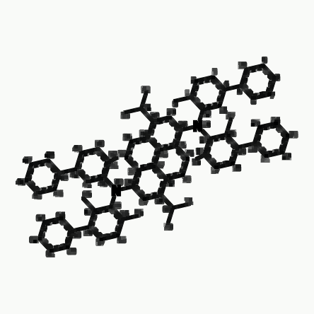 Cc1ccc(-c2ccccc2)cc1N(c1c(C)ccc(-c2ccccc2)c1C)c1cc(C(C)C)c2ccc3c(N(c4cc(-c5ccccc5)ccc4C)c4c(C)ccc(-c5ccccc5)c4C)cc(C(C)C)c4ccc1c2c43